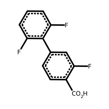 O=C(O)c1ccc(-c2c(F)cccc2F)cc1F